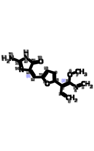 C=C/C(=C(\N=C)OC)c1ccc(/C=C2/N=C(N)NC2=O)o1